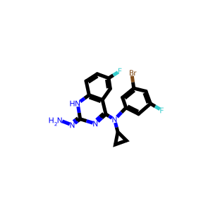 N/N=c1/nc(N(c2cc(F)cc(Br)c2)C2CC2)c2cc(F)ccc2[nH]1